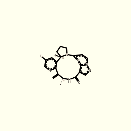 C=C1c2ncc(F)cc2[C@@H]2CCCN2c2ccn3ncc(c3n2)C(=O)N[C@@H]1C